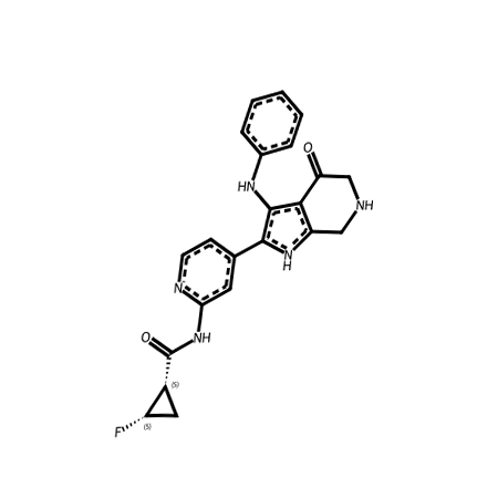 O=C1CNCc2[nH]c(-c3ccnc(NC(=O)[C@@H]4C[C@@H]4F)c3)c(Nc3ccccc3)c21